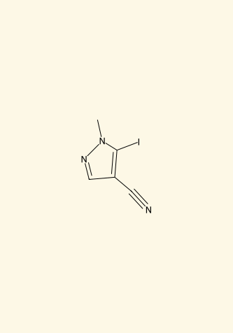 Cn1ncc(C#N)c1I